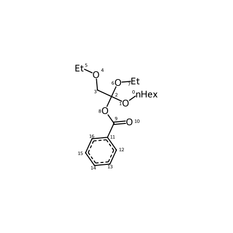 CCCCCCOC(COCC)(OCC)OC(=O)c1ccccc1